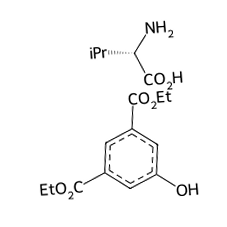 CC(C)[C@H](N)C(=O)O.CCOC(=O)c1cc(O)cc(C(=O)OCC)c1